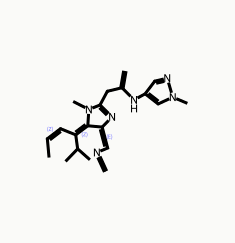 C=N/C=c1/nc(CC(=C)Nc2cnn(C)c2)n(C)/c1=C(\C=C/C)C(C)C